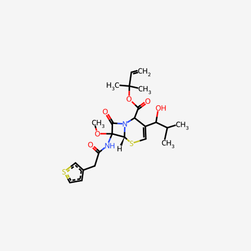 C=CC(C)(C)OC(=O)C1C(C(O)C(C)C)=CS[C@H]2N1C(=O)C2(NC(=O)Cc1ccsc1)OC